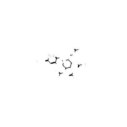 C=C(N)/C=C(/O[C@@H]1O[C@H](COC(C)=O)[C@H](OC(C)=O)[C@H](OC(C)=O)[C@H]1OC(C)=O)C(=C)S